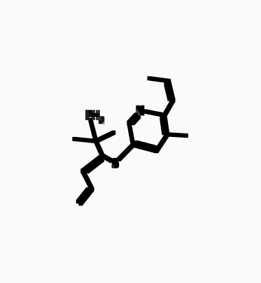 C=C/C=C(\Sc1cnc(/C=C\C)c(C)c1)C(C)(C)P